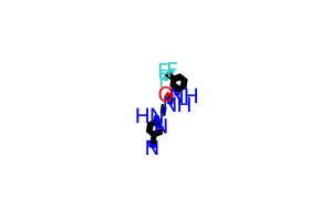 N#Cc1ccc(NCCNC(=O)Nc2cccc(C(F)(F)F)c2)nc1